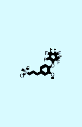 COc1cc(CCC[Si](C)(Cl)Cl)ccc1OC1=C(F)C(F)(F)C(F)(F)C1(F)F